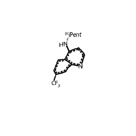 C[CH]C[C@@H](C)Nc1ccnc2cc(C(F)(F)F)ccc12